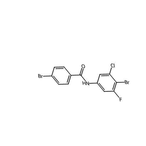 O=C(Nc1cc(F)c(Br)c(Cl)c1)c1ccc(Br)cc1